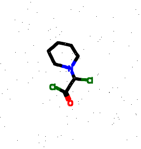 O=C(Cl)C(Cl)N1CCCCC1